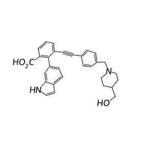 O=C(O)c1cccc(C#Cc2ccc(CN3CCC(CO)CC3)cc2)c1-c1ccc2cc[nH]c2c1